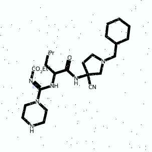 CCOC(=O)/N=C(\NC(CC(C)C)C(=O)NC1(C#N)CCN(CC2CCCCC2)C1)N1CCNCC1